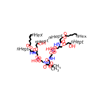 CCCCCC/C=C\CCCC(=O)O[C@H](CCCCCCC)CC(=O)NC(COCC[C@H](O)CCCCCCC)COP(=O)(O)OCCNC(=O)C1OC(C)(C)OC1C(=O)NCCOP(=O)(O)OCC(COCC[C@H](O)CCCCCCC)NC(=O)C[C@@H](CCCCCCC)OC(=O)CCC/C=C\CCCCCC